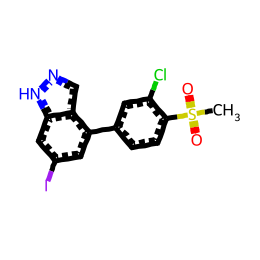 CS(=O)(=O)c1ccc(-c2cc(I)cc3[nH]ncc23)cc1Cl